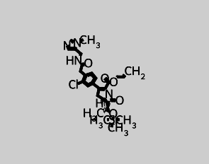 C=CCOC(=O)C1=C(c2ccc(CC(=O)NCc3cncn3C)c(Cl)c2)C[C@@H]2[C@@H]([C@@H](C)O[Si](C)(C)C)C(=O)N12